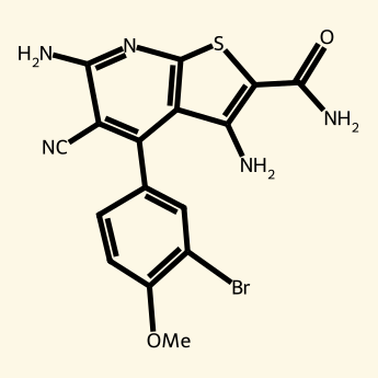 COc1ccc(-c2c(C#N)c(N)nc3sc(C(N)=O)c(N)c23)cc1Br